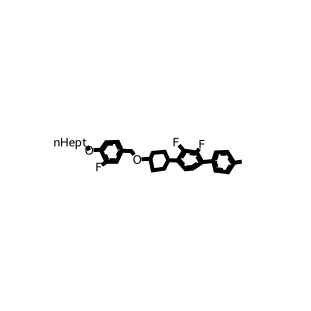 CCCCCCCOc1ccc(COC2CCC(c3ccc(-c4ccc(C)cc4)c(F)c3F)CC2)cc1F